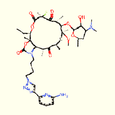 CC[C@H]1OC(=O)[C@@](C)(F)C(=O)[C@H](C)[C@@H](OC2OC(C)CC(N(C)C)C2O)[C@@](C)(OC)C[C@@H](C)C(=O)[C@H](C)C2N(CCCCn3cc(-c4cccc(N)n4)nn3)C(=O)O[C@@]21C